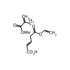 C=C(C)C(=O)OC.C=COC(=O)CC=CC(=O)O